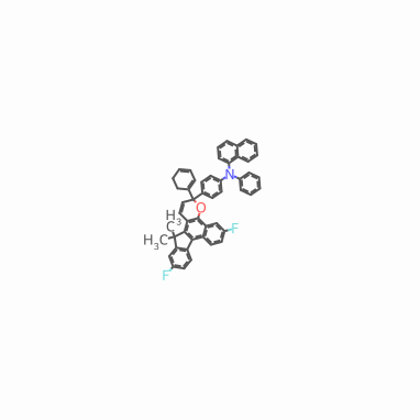 CC1(C)c2cc(F)ccc2-c2c1c1c(c3cc(F)ccc23)OC(C2=CC=CCC2)(c2ccc(N(c3ccccc3)c3cccc4ccccc34)cc2)C=C1